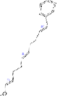 CCO/C=C/CC/C=C/CC/C=C/c1ccccc1